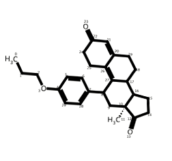 CCCOc1ccc(C2C[C@]3(C)C(=O)CCC3C3CCC4=CC(=O)CCC4=C23)cc1